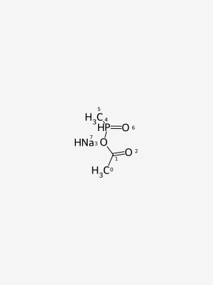 CC(=O)O[PH](C)=O.[NaH]